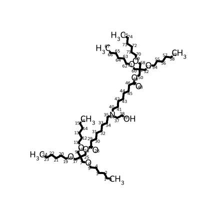 CCCCCCOCC(COCCCCCC)(COCCCCCC)COC(=O)CCCCCCCN(CCO)CCCCCCCC(=O)OCC(COCCCCCC)(COCCCCCC)COCCCCCC